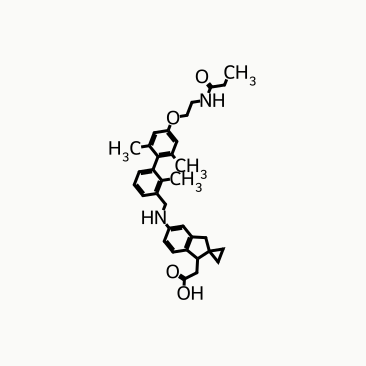 CCC(=O)NCCOc1cc(C)c(-c2cccc(CNc3ccc4c(c3)CC3(CC3)C4CC(=O)O)c2C)c(C)c1